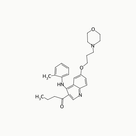 CCCC(=O)c1cnc2ccc(OCCCN3CCOCC3)cc2c1Nc1ccccc1C